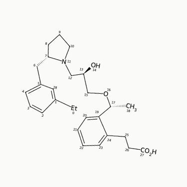 CCc1cccc(C[C@@H]2CCCN2C[C@@H](O)CO[C@H](C)c2ccccc2CCC(=O)O)c1